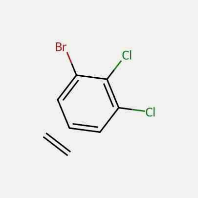 C=C.Clc1cccc(Br)c1Cl